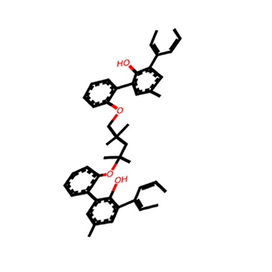 C/C=C\C(=C/C)c1cc(C)cc(-c2ccccc2OCC(C)(C)CC(C)(C)Oc2ccccc2-c2cc(C)cc(C(/C=C\C)=C/C)c2O)c1O